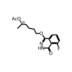 CC(=O)O[C@H](C)CCCCOc1n[nH]c(=O)c2c(F)cccc12